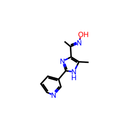 C/C(=N\O)c1nc(-c2cccnc2)[nH]c1C